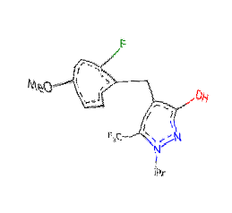 COc1ccc(Cc2c(O)nn(C(C)C)c2C(F)(F)F)c(F)c1